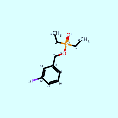 CCP(=O)(CC)OCc1cccc(I)c1